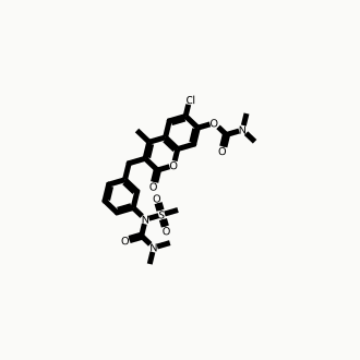 Cc1c(Cc2cccc(N(C(=O)N(C)C)S(C)(=O)=O)c2)c(=O)oc2cc(OC(=O)N(C)C)c(Cl)cc12